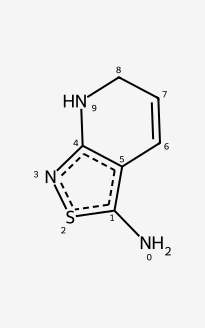 Nc1snc2c1C=CCN2